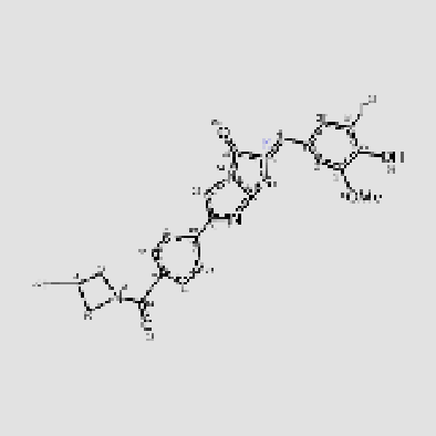 COc1cc(/C=c2\sc3nc(-c4ccc(C(=O)N5CC(F)C5)cc4)cn3c2=O)cc(F)c1O